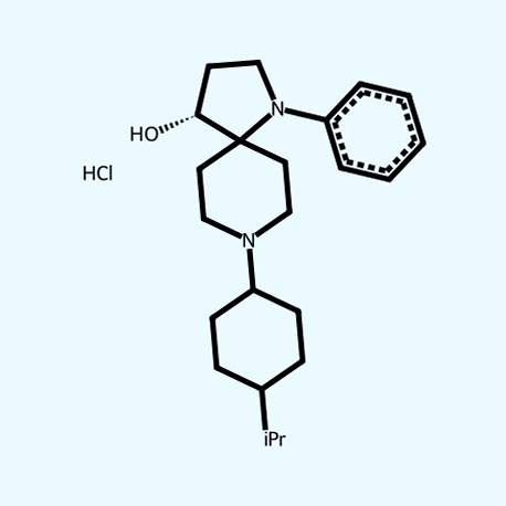 CC(C)C1CCC(N2CCC3(CC2)[C@H](O)CCN3c2ccccc2)CC1.Cl